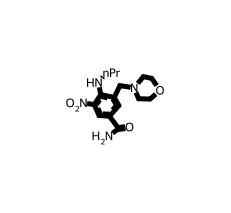 CCCNc1c(CN2CCOCC2)cc(C(N)=O)cc1[N+](=O)[O-]